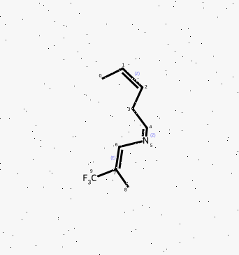 C/C=C\C/C=N\C=C(/C)C(F)(F)F